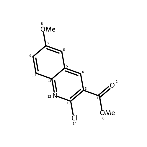 COC(=O)c1cc2cc(OC)ccc2nc1Cl